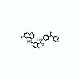 Cc1ccc(Nc2ccnc3ccc(F)cc23)cc1C(=O)Nc1ccc(Nc2ccncc2)cc1